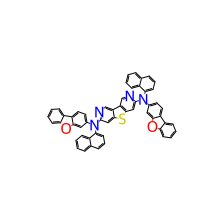 c1ccc2c(N(c3ccc4c(c3)oc3ccccc34)c3cc4sc5cc(N(c6ccc7c(c6)oc6ccccc67)c6cccc7ccccc67)ncc5c4cn3)cccc2c1